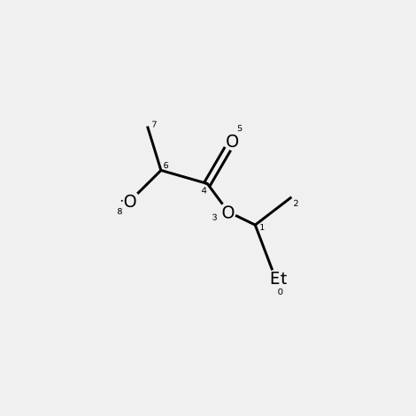 CCC(C)OC(=O)C(C)[O]